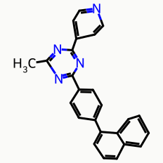 Cc1nc(-c2ccncc2)nc(-c2ccc(-c3cccc4ccccc34)cc2)n1